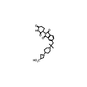 CC(C)(Cc1ccc2c(c1)C(=O)N(C1CCC(=O)NC1=O)C2=O)N1CCC(N2CC(C(=O)O)C2)CC1